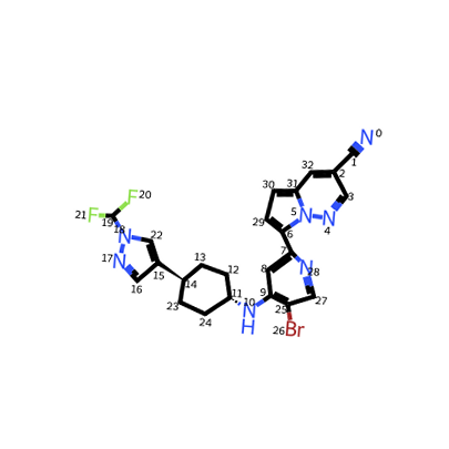 N#Cc1cnn2c(-c3cc(N[C@H]4CC[C@H](c5cnn(C(F)F)c5)CC4)c(Br)cn3)ccc2c1